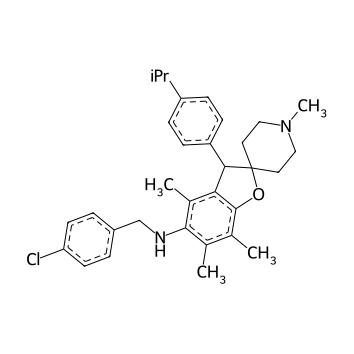 Cc1c(C)c2c(c(C)c1NCc1ccc(Cl)cc1)C(c1ccc(C(C)C)cc1)C1(CCN(C)CC1)O2